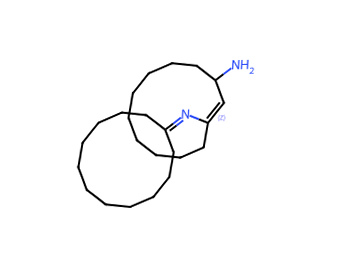 NC1/C=C(\N=C2CCCCCCCCCCC2)CCCCCCCCC1